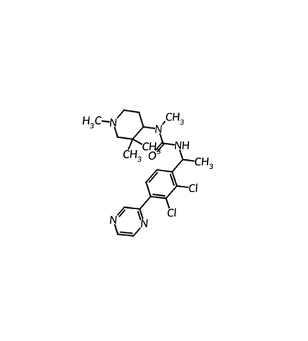 CC(NC(=O)N(C)C1CCN(C)CC1(C)C)c1ccc(-c2cnccn2)c(Cl)c1Cl